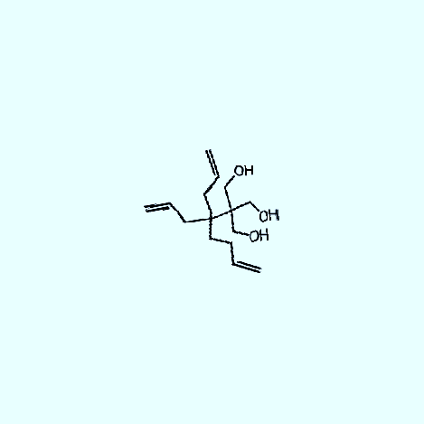 C=CCCC(CC=C)(CC=C)C(CO)(CO)CO